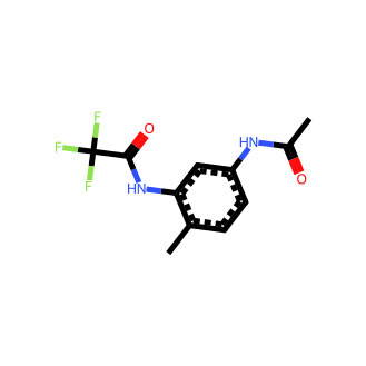 CC(=O)Nc1ccc(C)c(NC(=O)C(F)(F)F)c1